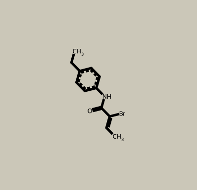 CC=C(Br)C(=O)Nc1ccc(CC)cc1